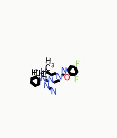 Cc1ccccc1N/C(=N/C#N)N1CCN(c2nc3cc(F)cc(F)c3o2)CC1C(C)C